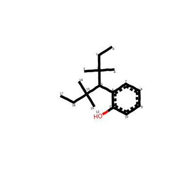 CCC(C)(C)C(c1ccccc1O)C(C)(C)CC